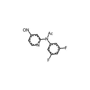 CC(=O)N(c1cc(F)cc(F)c1)c1cc(N=O)ccn1